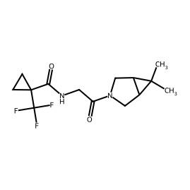 CC1(C)C2CN(C(=O)CNC(=O)C3(C(F)(F)F)CC3)CC21